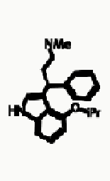 CNCC[C@@H](c1ccccc1)c1c[nH]c2cccc(OC(C)C)c12